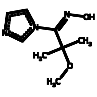 COC(C)(C)C(=NO)n1ccnc1